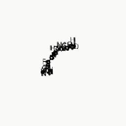 N#Cc1cc(N2CCC(=O)NC2=O)ccc1N1CCC(O)(CC(=O)N2CCN(c3ccc(-c4cc(F)c5c(c4)CN(C(C(=O)Nc4nccs4)c4ncn6c4CCC6)C5)cc3)CC2)CC1